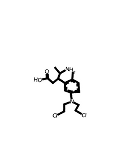 Cc1ccc(N(CCCl)CCCl)cc1C(CC(=O)O)C(C)N